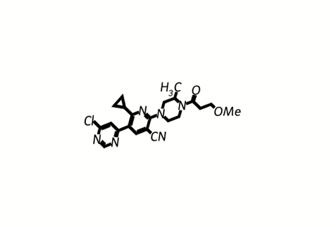 COCCC(=O)N1CCN(c2nc(C3CC3)c(-c3cc(Cl)ncn3)cc2C#N)CC1C